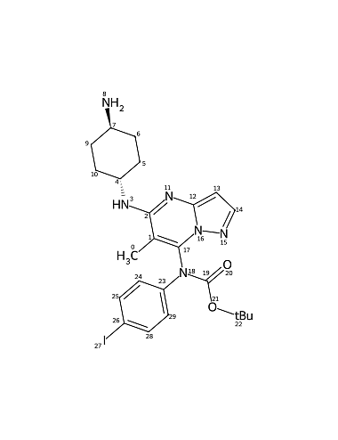 Cc1c(N[C@H]2CC[C@H](N)CC2)nc2ccnn2c1N(C(=O)OC(C)(C)C)c1ccc(I)cc1